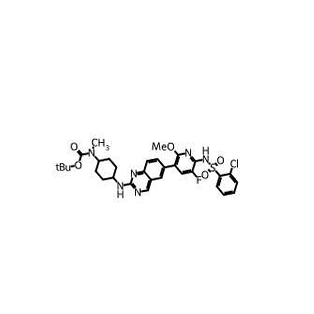 COc1nc(NS(=O)(=O)c2ccccc2Cl)c(F)cc1-c1ccc2nc(NC3CCC(N(C)C(=O)OC(C)(C)C)CC3)ncc2c1